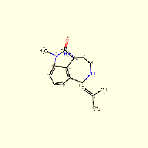 CC(C)=C[C@H]1NCC[C@@]2(N)C(=O)N(C)c3cccc1c32